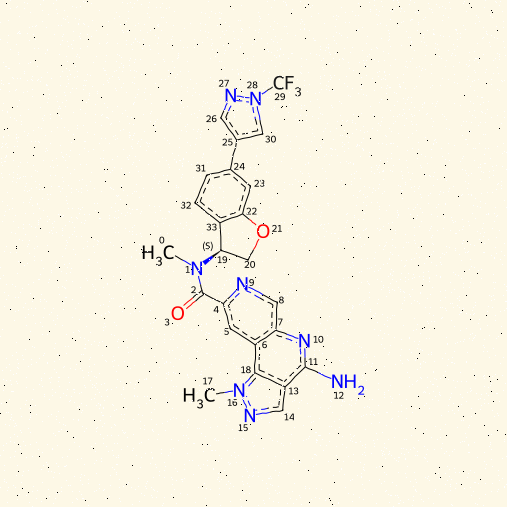 CN(C(=O)c1cc2c(cn1)nc(N)c1cnn(C)c12)[C@@H]1COc2cc(-c3cnn(C(F)(F)F)c3)ccc21